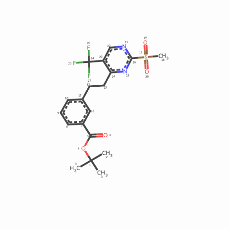 CC(C)(C)OC(=O)c1cccc(CCc2nc(S(C)(=O)=O)ncc2C(F)(F)F)c1